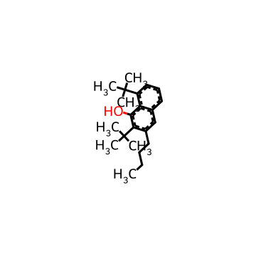 CCCCc1cc2cccc(C(C)(C)C)c2c(O)c1C(C)(C)C